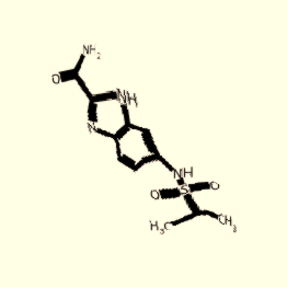 CC(C)S(=O)(=O)Nc1ccc2nc(C(N)=O)[nH]c2c1